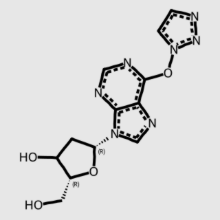 OC[C@H]1O[C@@H](n2cnc3c(On4ccnn4)ncnc32)CC1O